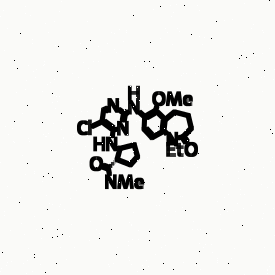 CCN1C(=O)CCCc2c1ccc(Nc1ncc(Cl)c(N[C@@H]3CCC[C@@H]3C(=O)NC)n1)c2OC